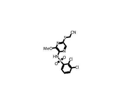 COc1nc(SCC#N)cnc1NS(=O)(=O)c1cccc(Cl)c1Cl